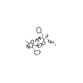 Cc1nc(-c2ccccc2)c(C(=O)NC(Cc2ccccc2)C(=O)C(N)=O)o1